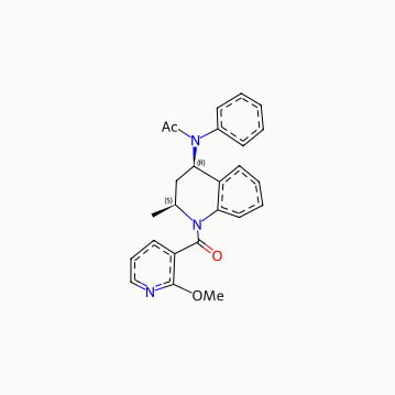 COc1ncccc1C(=O)N1c2ccccc2[C@H](N(C(C)=O)c2ccccc2)C[C@@H]1C